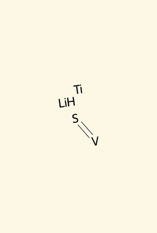 [LiH].[S]=[V].[Ti]